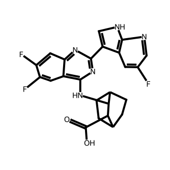 O=C(O)C1C2CCC(CC2)C1Nc1nc(-c2c[nH]c3ncc(F)cc23)nc2cc(F)c(F)cc12